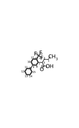 CCCC(C(=O)O)c1cc(-c2ccccc2)ccc1C(F)(F)F